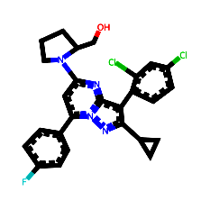 OCC1CCCN1c1cc(-c2ccc(F)cc2)n2nc(C3CC3)c(-c3ccc(Cl)cc3Cl)c2n1